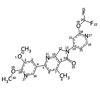 COc1cc(-c2cc(C)c3c(n2)CN(c2ccnc(OC(F)F)c2)C3=O)cnc1OC